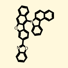 c1ccc2c(-n3c4ccccc4c4c5ccccc5ccc43)c3c(cc2c1)oc1cc(-c2nc4ccccc4o2)ccc13